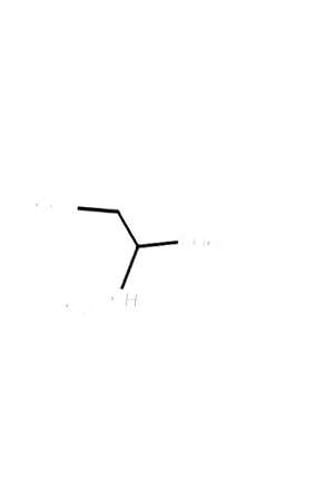 O=C([O-])CC(O)C(=O)[O-].[Ca+2]